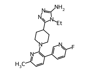 CCn1c(N)nnc1C1CCN(c2nc(C)ccc2-c2ccc(F)nc2)CC1